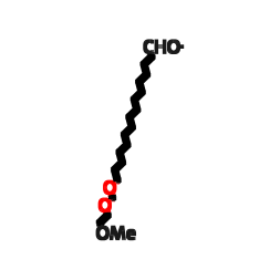 COCCOCOCCCCCCCCCCCCCCC[C]=O